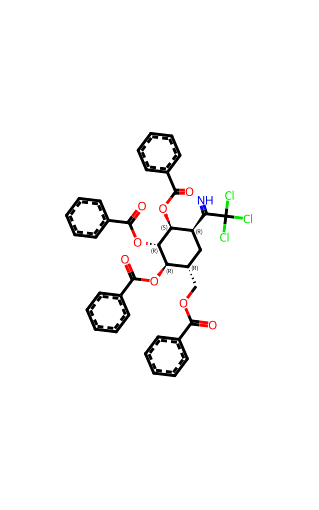 N=C([C@H]1C[C@H](COC(=O)c2ccccc2)[C@@H](OC(=O)c2ccccc2)[C@H](OC(=O)c2ccccc2)[C@H]1OC(=O)c1ccccc1)C(Cl)(Cl)Cl